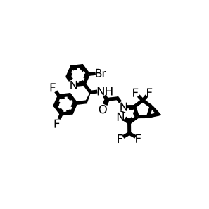 O=C(Cn1nc(C(F)F)c2c1C(F)(F)C1CC21)N[C@@H](Cc1cc(F)cc(F)c1)c1ncccc1Br